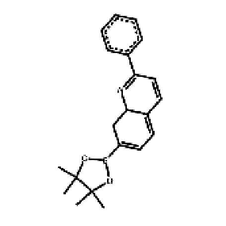 CC1(C)OB(C2=CC=C3C=CC(c4ccccc4)=NC3C2)OC1(C)C